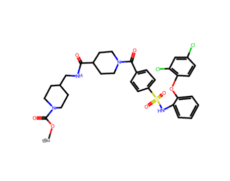 CC(C)(C)OC(=O)N1CCC(CNC(=O)C2CCN(C(=O)c3ccc(S(=O)(=O)Nc4ccccc4Oc4ccc(Cl)cc4Cl)cc3)CC2)CC1